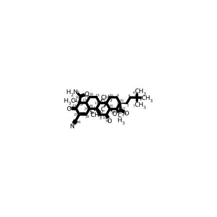 CC1[C@]2(CCC(C)(C)C)CC[C@@]3(C)[C@]4(C)CCC5[C@](C)(C(N)=O)C(=O)C(C#N)=C[C@]5(C)C4=CC(=O)[C@]13OC2=O